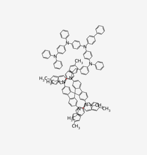 Cc1ccc(N(c2ccc(C)cc2)c2ccc3c(c2)C2(c4cc(N(c5ccc(C)cc5)c5ccc(C)cc5)ccc4-3)c3cc(N(c4ccc(C)cc4)c4ccc(C)cc4)ccc3-c3ccc(N(c4ccc(C)cc4)c4ccc(Cc5cccc(N(c6ccccc6)c6ccc(N(c7ccc(-c8ccccc8)cc7)c7ccc(N(c8ccccc8)c8ccc(N(c9ccccc9)c9ccccc9)cc8)cc7)cc6)c5)cc4)cc32)cc1